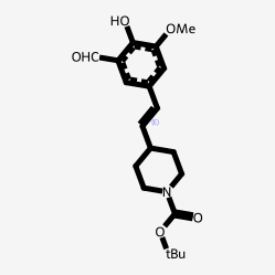 COc1cc(/C=C/C2CCN(C(=O)OC(C)(C)C)CC2)cc(C=O)c1O